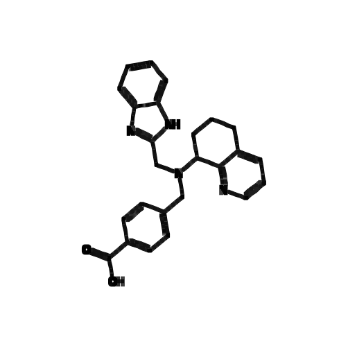 O=C(O)c1ccc(CN(Cc2nc3ccccc3[nH]2)C2CCCc3cccnc32)cc1